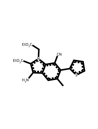 CCOC(=O)Cn1c(C(=O)OCC)c(N)c2cc(C)c(-c3cccs3)c(C#N)c21